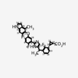 Cc1c(Oc2ccc(F)c(-c3ncc(C(C)c4cccc([C@H]5C[C@H]5C(=O)O)c4F)[nH]3)c2)c(F)cc2[nH]ccc12